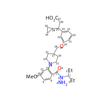 CCC(CC)N(N)C(=O)c1ccc(OC)cc1N1CCC(COc2cccc(C(CC(=O)O)C3CC3)c2)CC1